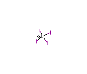 [I][Sb]([I])([I])[I]